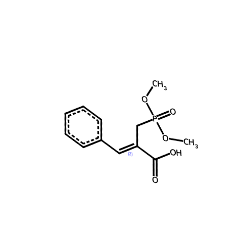 COP(=O)(C/C(=C\c1ccccc1)C(=O)O)OC